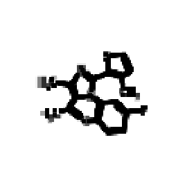 Cc1ccsc1-c1nc(C)c2c(C)nc3ccc(F)cc3n12